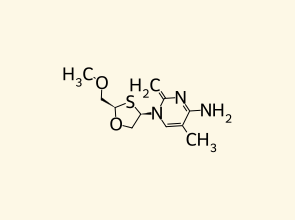 C=C1N=C(N)C(C)=CN1[C@H]1CO[C@@H](COC)S1